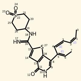 C\C=C/C=C\C(=C/C)c1c[nH]c(=O)c2cc(C(=N)NC3CCS(=O)(=O)CC3)sc12